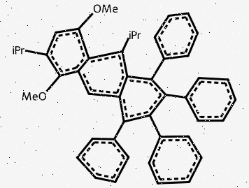 COc1c(C(C)C)cc(OC)c2c(C(C)C)c3c(-c4ccccc4)c(-c4ccccc4)c(-c4ccccc4)c(-c4ccccc4)c3cc12